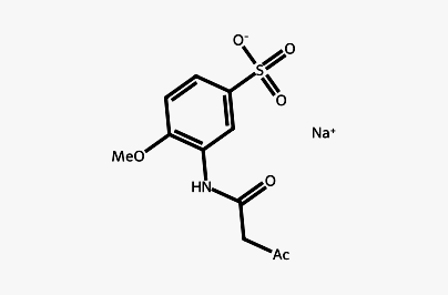 COc1ccc(S(=O)(=O)[O-])cc1NC(=O)CC(C)=O.[Na+]